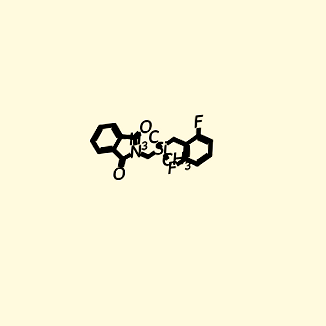 C[Si](C)(Cc1c(F)cccc1F)CN1C(=O)c2ccccc2C1=O